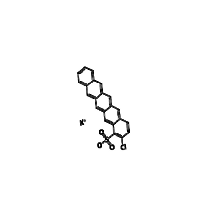 O=S(=O)([O-])c1c(Cl)ccc2cc3cc4cc5ccccc5cc4cc3cc12.[K+]